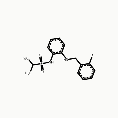 CCCCC(C)S(=O)(=O)Nc1ccccc1NCc1ccccc1F